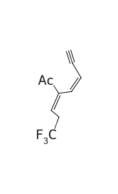 C#C/C=C\C(=C/CC(F)(F)F)C(C)=O